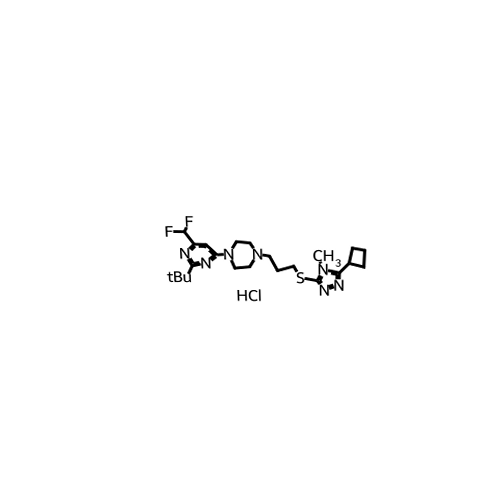 Cl.Cn1c(SCCCN2CCN(c3cc(C(F)F)nc(C(C)(C)C)n3)CC2)nnc1C1CCC1